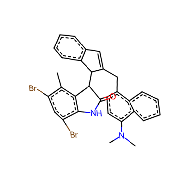 Cc1c(Br)cc(Br)c2c1C(C1C(Cc3ccc(N(C)C)c4ccccc34)=Cc3ccccc31)C(=O)N2